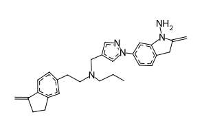 C=C1CCc2cc(CCN(CCC)Cc3cnn(-c4ccc5c(c4)N(N)C(=C)C5)c3)ccc21